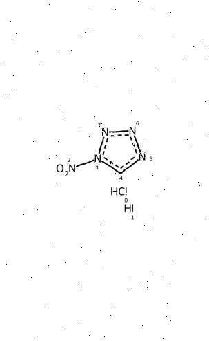 Cl.I.O=[N+]([O-])n1cnnn1